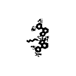 CCCCCC[Si]1(C)C2=Cc3c(-c4cc([Si](C)(C)C)cc([Si](C)(C)C)c4)cccc3[CH]2[Hf]([CH3])([CH3])[CH]2C1=Cc1c(-c3cc([Si](C)(C)C)cc([Si](C)(C)C)c3)cccc12